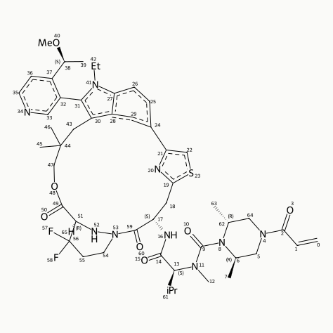 C=CC(=O)N1C[C@@H](C)N(C(=O)N(C)[C@H](C(=O)N[C@H]2Cc3nc(cs3)-c3ccc4c(c3)c(c(-c3cnccc3[C@H](C)OC)n4CC)CC(C)(C)COC(=O)[C@H]3NN(CCC3(F)F)C2=O)C(C)C)[C@H](C)C1